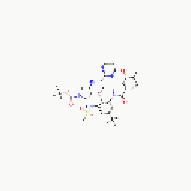 COc1c(NC(=O)c2ccc(C)c(Oc3ccnc(CNC4CCN(C(=O)OC(C)(C)C)C4)n3)c2)cc(C(C)(C)C)cc1NS(C)(=O)=O